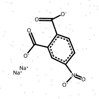 O=C([O-])c1ccc([N+](=O)[O-])cc1C(=O)[O-].[Na+].[Na+]